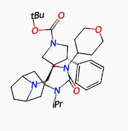 CC(C)N1C(=O)N(C2CCOCC2)CC12CC1CCC(C2)N1C[C@H]1CN(C(=O)OC(C)(C)C)C[C@@H]1c1ccccc1